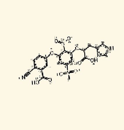 CS(=O)(=O)c1nc(Oc2ccc(C#N)c(C(=O)O)c2)c([N+](=O)[O-])c(OC(Cc2c[nH]cn2)C(=O)O)n1